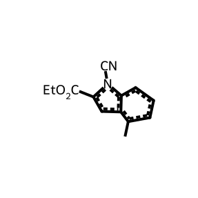 CCOC(=O)c1cc2c(C)cccc2n1C#N